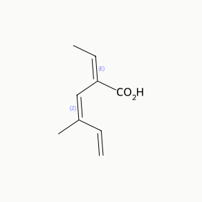 C=C/C(C)=C\C(=C/C)C(=O)O